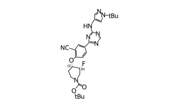 CC(C)(C)OC(=O)N1CC[C@H](Oc2ccc(-c3ncnc(Nc4cnn(C(C)(C)C)c4)n3)cc2C#N)[C@H](F)C1